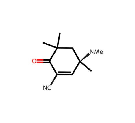 CN[C@@]1(C)C=C(C#N)C(=O)C(C)(C)C1